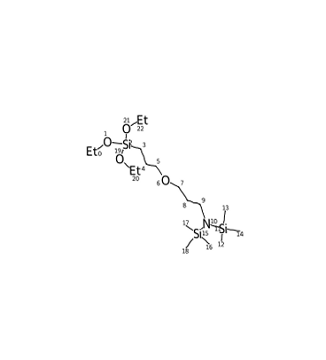 CCO[Si](CCCOCCCN([Si](C)(C)C)[Si](C)(C)C)(OCC)OCC